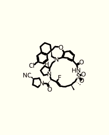 C[C@@H]1[C@@H](C)C/C=C(\F)[C@H](C(=O)N2CC[C@@H](C#N)C2)N2CCC[C@H]2CN2C[C@@]3(CCCc4cc(Cl)ccc43)COc3ccc(cc32)C(=O)NS1(=O)=O